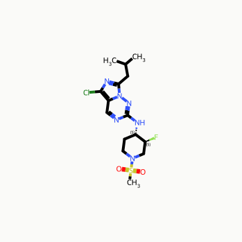 CC(C)Cc1nc(Cl)c2cnc(N[C@H]3CCN(S(C)(=O)=O)C[C@@H]3F)nn12